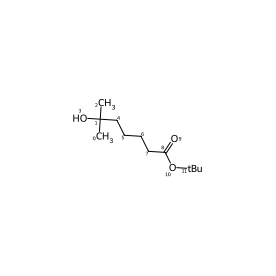 CC(C)(O)CCCCC(=O)OC(C)(C)C